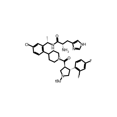 C[C@H](NC(=O)[C@@H](N)Cc1c[nH]cn1)c1cc(Cl)ccc1C1CCN(C(=O)[C@@H]2CN(C(C)(C)C)C[C@H]2c2ccc(F)cc2F)CC1